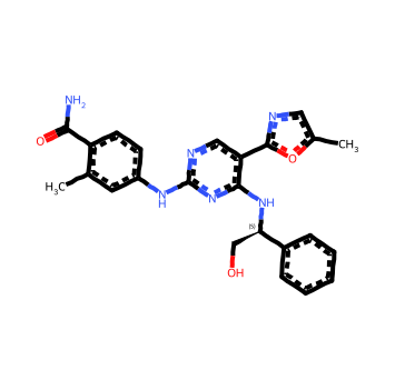 Cc1cnc(-c2cnc(Nc3ccc(C(N)=O)c(C)c3)nc2N[C@H](CO)c2ccccc2)o1